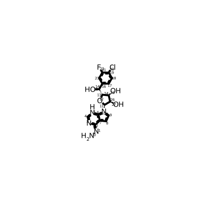 NN=c1nc[nH]c2c1ccn2[C@@H]1O[C@H](C(O)c2ccc(Cl)c(F)c2)[C@@H](O)[C@H]1O